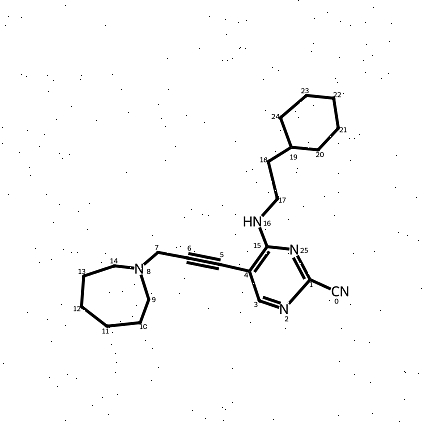 N#Cc1ncc(C#CCN2CCCCCC2)c(NCCC2CCCCC2)n1